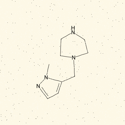 Cn1nccc1CN1CCNCC1